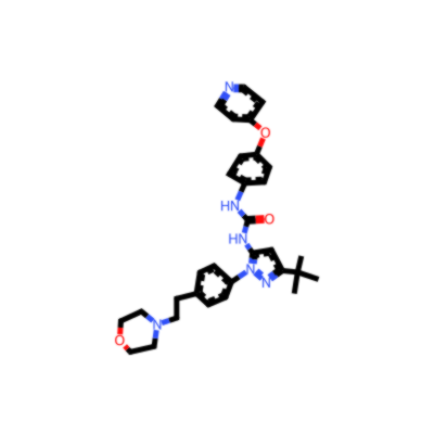 CC(C)(C)c1cc(NC(=O)Nc2ccc(Oc3ccncc3)cc2)n(-c2ccc(CCN3CCOCC3)cc2)n1